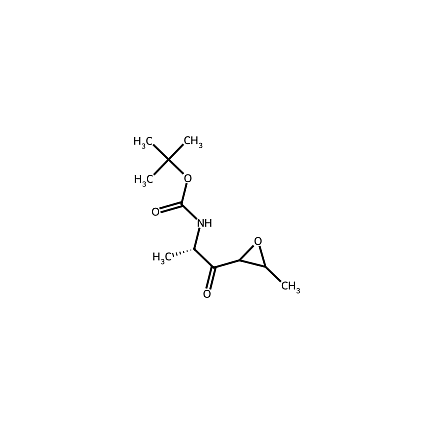 CC1OC1C(=O)[C@H](C)NC(=O)OC(C)(C)C